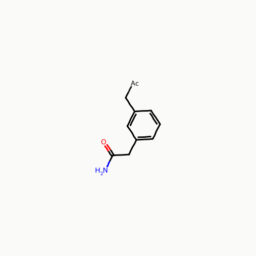 CC(=O)Cc1cccc(CC(N)=O)c1